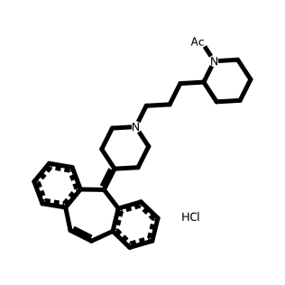 CC(=O)N1CCCCC1CCCN1CCC(=C2c3ccccc3C=Cc3ccccc32)CC1.Cl